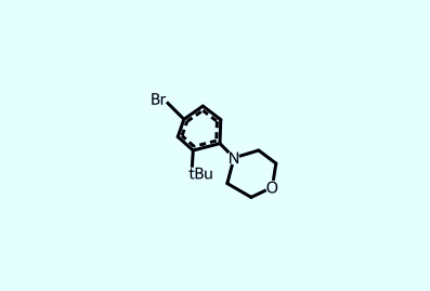 CC(C)(C)c1cc(Br)ccc1N1CCOCC1